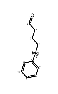 O=CCC[CH2][Mg][c]1ccccc1